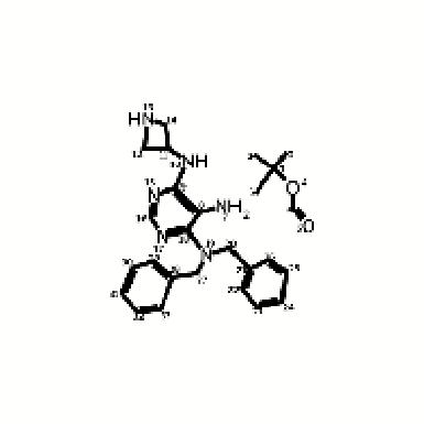 CC(C)(C)OC=O.Nc1c(NC2CNC2)ncnc1N(Cc1ccccc1)Cc1ccccc1